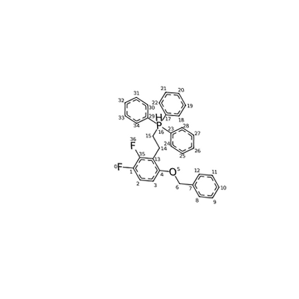 Fc1ccc(OCc2ccccc2)c(CC[PH](c2ccccc2)(c2ccccc2)c2ccccc2)c1F